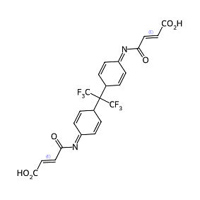 O=C(O)/C=C/C(=O)N=C1C=CC(C(C2C=CC(=NC(=O)/C=C/C(=O)O)C=C2)(C(F)(F)F)C(F)(F)F)C=C1